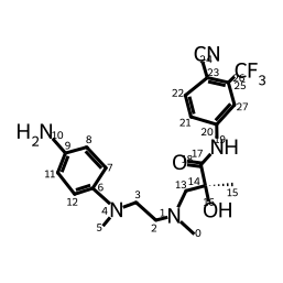 CN(CCN(C)c1ccc(N)cc1)C[C@](C)(O)C(=O)Nc1ccc(C#N)c(C(F)(F)F)c1